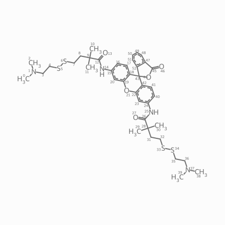 CN(C)CCSSCCC(C)(C)C(=O)Nc1ccc2c(c1)Oc1cc(NC(=O)C(C)(C)CCSSCCN(C)C)ccc1C21OC(=O)c2ccccc21